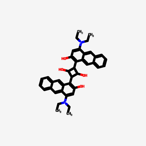 CCN(CC)c1cc(O)c(C2C(O)C(c3c(O)cc(N(CC)CC)c4cc5ccccc5cc34)C2O)c2cc3ccccc3cc12